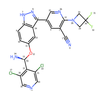 N#Cc1cc(-c2n[nH]c3ccc(O[C@H](N)c4c(Cl)cncc4Cl)cc23)cnc1N1CC(F)(F)C1